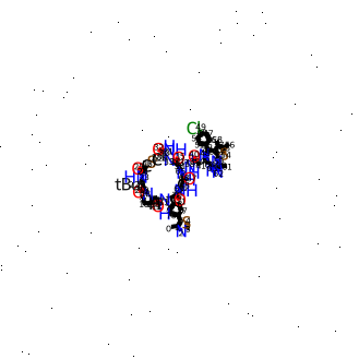 Cc1ncsc1-c1ccc([C@H]2NC(=O)[C@@H]3CCCN3C(=O)[C@H](C(C)(C)C)NC(=O)CSC[C@H](C(N)=O)NC(=O)[C@H](CNC(=O)C[C@@H]3N=C(c4ccc(Cl)cc4)c4c(sc(C)c4C)-n4c(C)nnc43)NC(=O)CNC2=O)cc1